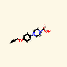 C#CCOc1ccc(N2CCN(C(=O)O)CC2)cc1